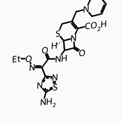 CCO/N=C(\C(=O)NC1C(=O)N2C(C(=O)O)=C(CN3CC=CCC3)CS[C@H]12)c1nsc(N)n1